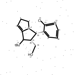 CC(C)(C)C1C2=CCCN2[C@H](c2cccnc2Cl)[C@@H]1CO